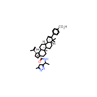 C=C(C)[C@@H]1CC[C@]2(C(=O)NC(C)C3=NN=C(C)C3)CC[C@]3(C)[C@H](CC[C@@H]4[C@@]5(C)CC=C(c6ccc(C(=O)O)cc6)C(C)(C)[C@@H]5CC[C@]43C)[C@@H]12